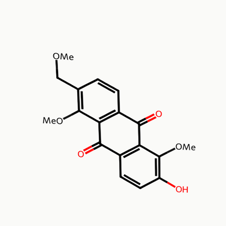 COCc1ccc2c(c1OC)C(=O)c1ccc(O)c(OC)c1C2=O